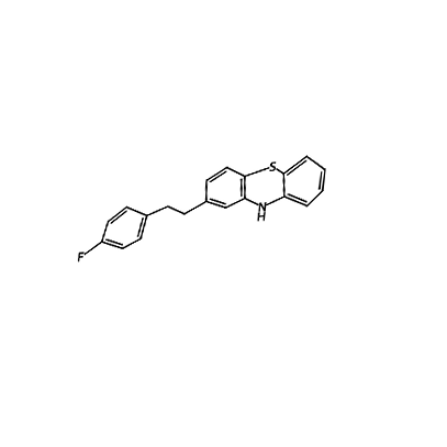 Fc1ccc(CCc2ccc3c(c2)Nc2ccccc2S3)cc1